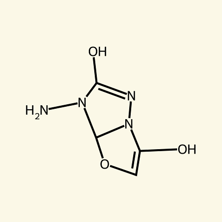 NN1C(O)=NN2C(O)=COC12